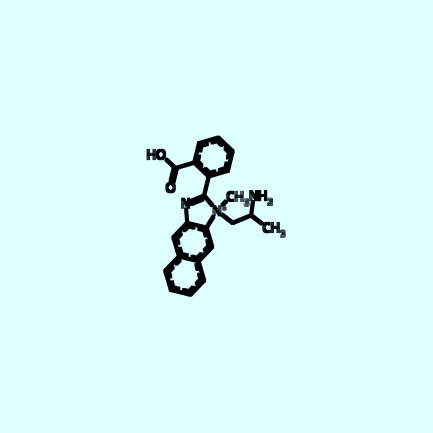 CC(N)C[N+]1(C)C(c2ccccc2C(=O)O)=Nc2cc3ccccc3cc21